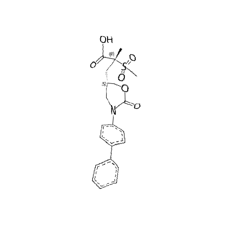 C[C@@](C[C@H]1CN(c2ccc(-c3ccccc3)cc2)C(=O)O1)(C(=O)O)S(C)(=O)=O